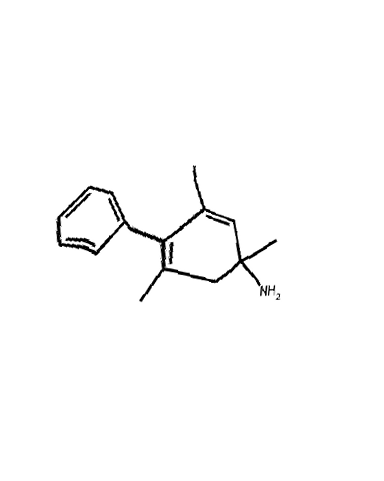 CC1=CC(C)(N)CC(C)=C1c1ccccc1